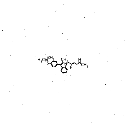 CNC/C=C(\F)Cn1c(C)c(-c2ccc(SN(C)C)cc2)c2ccccc21